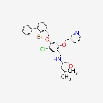 CC(C)CC(C=O)NCc1cc(Cl)c(OCc2cccc(-c3ccccc3)c2Br)cc1OCc1cccnc1